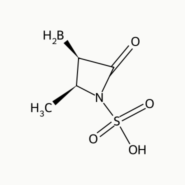 B[C@H]1C(=O)N(S(=O)(=O)O)[C@H]1C